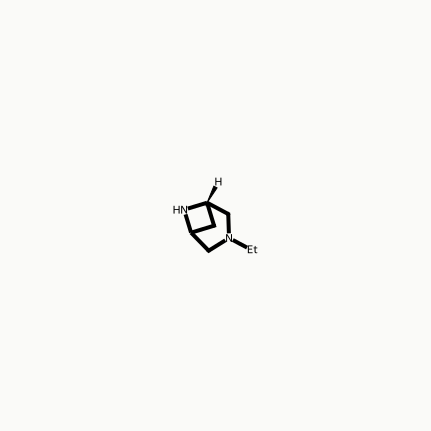 CCN1CC2C[C@@H](C1)N2